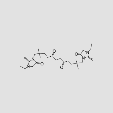 CCN1CC(=O)N(CC(C)(C)CCC(=O)CCC(=O)CCC(C)(C)CN2C(=O)CN(CC)C2=S)C1=S